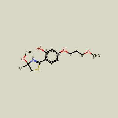 C[C@]1(OC=O)CSC(c2ccc(OCCCOC=O)cc2O)=N1